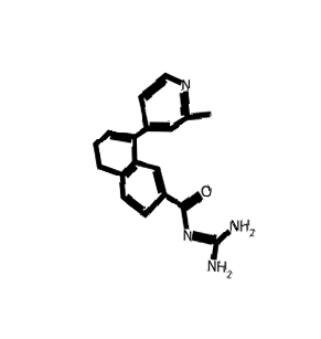 Cc1cc(C2=CCCc3ccc(C(=O)N=C(N)N)cc32)ccn1